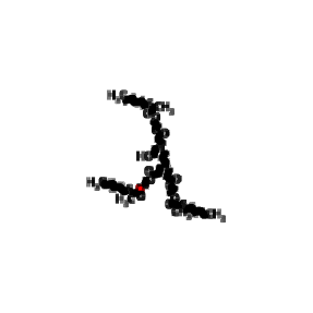 CC/C=C/CCSC(C)C(=O)OCCOC(=O)CCN(CCO)CCCN(CCC(=O)OCCOC(=O)C(C)SCC/C=C/CC)CCC(=O)OCCOC(=O)C(C)SCC/C=C/CC